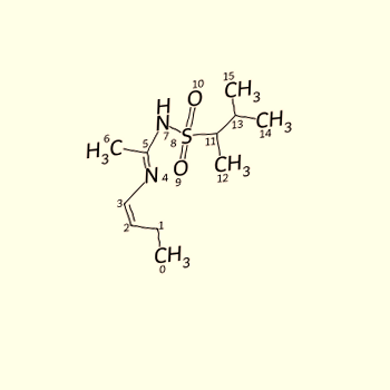 CC/C=C\N=C(/C)NS(=O)(=O)C(C)C(C)C